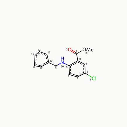 COC(=O)c1cc(Cl)ccc1NCc1ccccc1